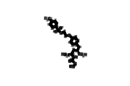 Cc1ccc(S(=O)(=O)OCCOc2ccc(C[C@@H](C[C@@H](NC(=O)OC(C)(C)C)C(=O)O)C(=O)O)nc2)cc1